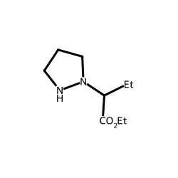 CCOC(=O)C(CC)N1CCCN1